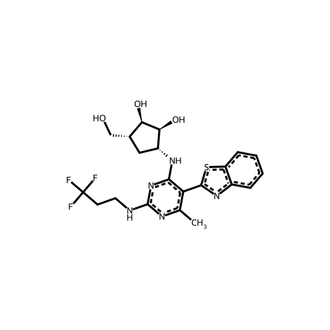 Cc1nc(NCCC(F)(F)F)nc(N[C@@H]2C[C@H](CO)[C@@H](O)[C@H]2O)c1-c1nc2ccccc2s1